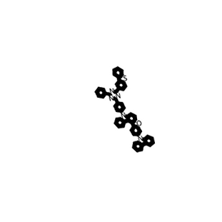 c1ccc(-c2nc(-c3ccc(-n4c5ccccc5c5c6c(ccc54)oc4cc(-n5c7ccccc7c7ccccc75)ccc46)cc3)nc(-c3ccc4sc5ccccc5c4c3)n2)cc1